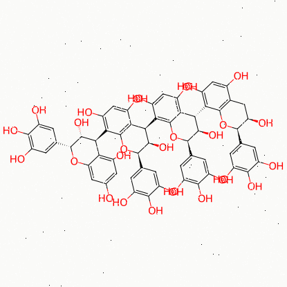 Oc1cc(O)c2c(c1)O[C@H](c1cc(O)c(O)c(O)c1)[C@H](O)[C@H]2c1c(O)cc(O)c2c1O[C@H](c1cc(O)c(O)c(O)c1)[C@H](O)[C@@H]2c1c(O)cc(O)c2c1O[C@H](c1cc(O)c(O)c(O)c1)[C@H](O)[C@H]2c1c(O)cc(O)c2c1O[C@H](c1cc(O)c(O)c(O)c1)[C@H](O)C2